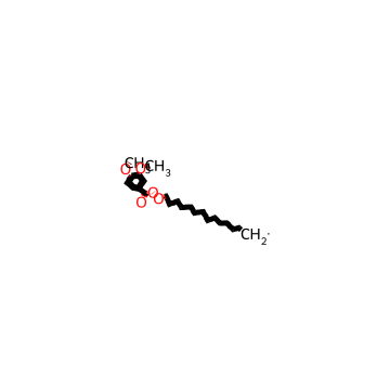 [CH2]CCCCCCCCCCCCCOOC(=O)c1ccc(OC)c(OC)c1